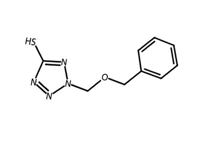 Sc1nnn(COCc2ccccc2)n1